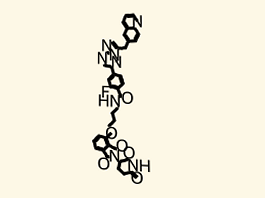 O=C1CCC(N2C(=O)c3cccc(OCCCCNC(=O)c4ccc(-c5cnc6ncc(Cc7ccc8ncccc8c7)n6n5)cc4F)c3C2=O)C(=O)N1